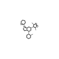 Cc1ccccc1-c1cc(-c2c(C)noc2C)cc2c1ccn2-c1ccccn1